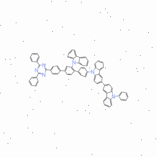 c1ccc(-c2nc(-c3ccccc3)nc(-c3ccc(-c4ccc(-c5ccc(-n6c7ccccc7c7cc(-c8ccc9c(c8)c8ccccc8n9-c8ccccc8)ccc76)cc5)c(-n5c6ccccc6c6ccccc65)c4)cc3)n2)cc1